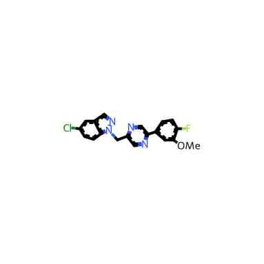 COc1cc(-c2cnc(Cn3ncc4cc(Cl)ccc43)cn2)ccc1F